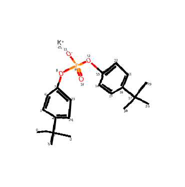 CC(C)(C)c1ccc(OP(=O)([O-])Oc2ccc(C(C)(C)C)cc2)cc1.[K+]